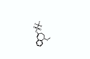 O=S(=O)(OC1=Cc2ccccc2N(SI)CC1)C(F)(F)F